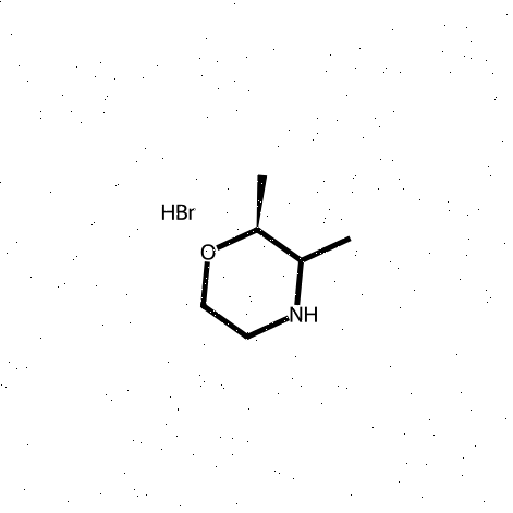 Br.CC1NCCO[C@H]1C